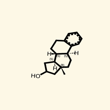 C[C@]12CC[C@@H]3c4ccccc4CC[C@H]3[C@@H]1CC(O)C2